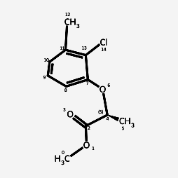 COC(=O)[C@H](C)Oc1cccc(C)c1Cl